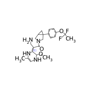 COC1NC=C(C)N/C1=C(\CN)C(=O)N1CC2CC2(c2ccc(OC(C)(F)F)cc2)C1